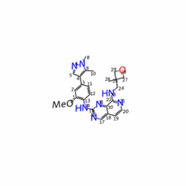 COc1cc(-c2cnn(C)c2C)ccc1Nc1ncc2ccnc(NCC3(C)COC3)c2n1